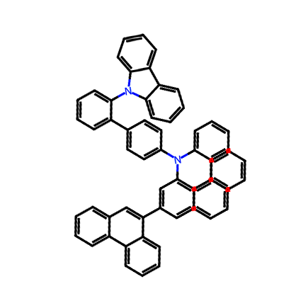 c1ccc(-c2ccccc2N(c2ccc(-c3ccccc3-n3c4ccccc4c4ccccc43)cc2)c2cc(-c3cc4ccccc4c4ccccc34)ccc2-c2ccccc2)cc1